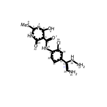 CSc1nc(O)c(C(=O)Nc2ccc(/C(=C/N)NN)cc2Cl)c(=O)[nH]1